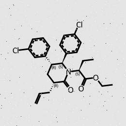 C=CC[C@@H]1C[C@H](c2cccc(Cl)c2)[C@@H](c2ccc(Cl)cc2)N([C@@H](CC)C(=O)OCC)C1=O